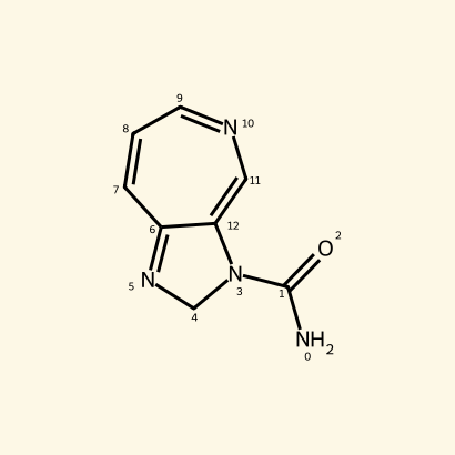 NC(=O)N1CN=C2C=CC=NC=C21